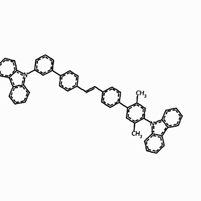 Cc1cc(-n2c3ccccc3c3ccccc32)c(C)cc1-c1ccc(/C=C/c2ccc(-c3cccc(-n4c5ccccc5c5ccccc54)c3)cc2)cc1